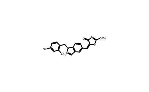 CSC1=NC(=O)/C(=C\c2ccc3c(cnn3Cc3ccc(C#N)cc3C(F)(F)F)c2)S1